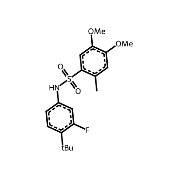 COc1cc(C)c(S(=O)(=O)Nc2ccc(C(C)(C)C)c(F)c2)cc1OC